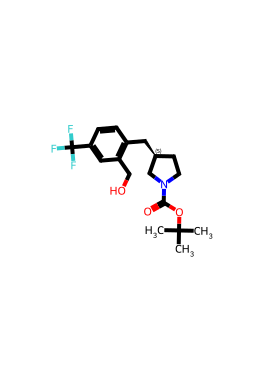 CC(C)(C)OC(=O)N1CC[C@H](Cc2ccc(C(F)(F)F)cc2CO)C1